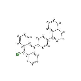 Brc1c2ccccc2c(-c2ccc(-c3cccc4ccccc34)cc2)c2ccccc12